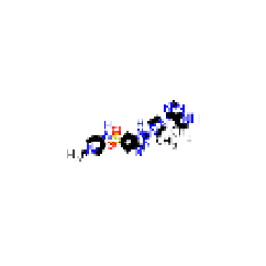 Cc1c[nH]c2ncnc(N3CCN(C(=NC#N)Nc4cccc(S(=O)(=O)NC5CCN(C)CC5)c4)C(C)C3)c12